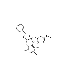 COC(=O)CC(=O)C[C@]1(C)Oc2c(C)c(C)cc(C)c2CC1OCc1ccccc1